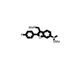 CNCc1c(-c2ccc(F)cc2)oc2cc(N(C)SC)ccc12